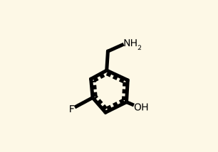 NCc1cc(O)cc(F)c1